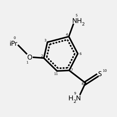 CC(C)Oc1cc(N)cc(C(N)=S)c1